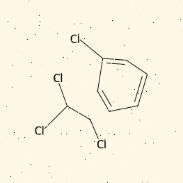 ClCC(Cl)Cl.Clc1ccccc1